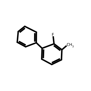 Cc1cccc(-c2ccccc2)c1F